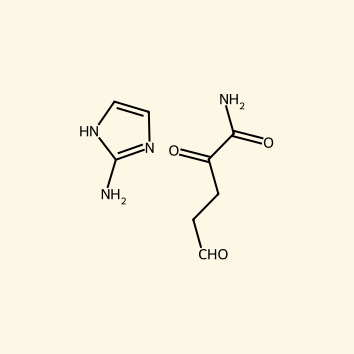 NC(=O)C(=O)CCC=O.Nc1ncc[nH]1